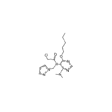 CCCCCOc1ncnc(N(C)C)c1N(Cn1cccn1)C(=O)CCl